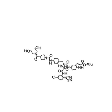 CC(C)(C)OC(=O)c1cc2cc(NC(=O)[C@H](Cc3ccc(NC(=O)N4CCC(C(=O)N(CCO)CCO)CC4)cc3)NC(=O)C(=O)Nc3cc(Cl)ccc3-n3cnnn3)ccc2[nH]1